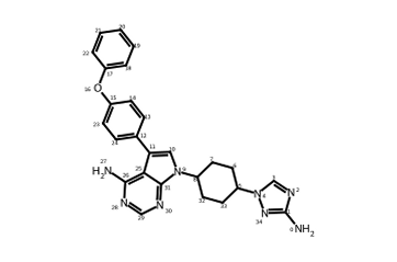 Nc1ncn(C2CCC(n3cc(-c4ccc(Oc5ccccc5)cc4)c4c(N)ncnc43)CC2)n1